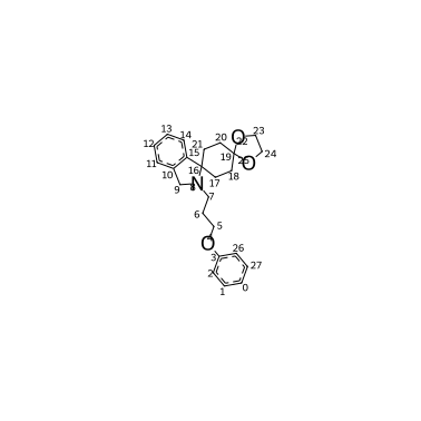 c1ccc(OCCCN2Cc3ccccc3C23CCC2(CC3)OCCO2)cc1